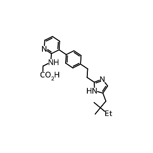 CCC(C)(C)Cc1cnc(CCc2ccc(-c3cccnc3NCC(=O)O)cc2)[nH]1